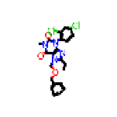 CCc1nc2c(c(=O)n(C)c(=O)n2-c2ccc(Cl)cc2Cl)n1COCc1ccccc1